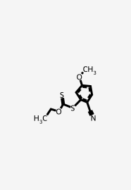 CCOC(=S)Sc1cc(OC)ccc1C#N